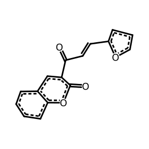 O=C(C=Cc1ccco1)c1cc2ccccc2oc1=O